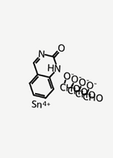 O=C[O-].O=C[O-].O=C[O-].O=C[O-].O=c1ncc2ccccc2[nH]1.[Sn+4]